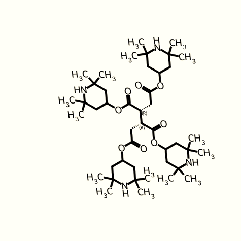 CC1(C)CC(OC(=O)C[C@@H](C(=O)OC2CC(C)(C)NC(C)(C)C2)[C@@H](CC(=O)OC2CC(C)(C)NC(C)(C)C2)C(=O)OC2CC(C)(C)NC(C)(C)C2)CC(C)(C)N1